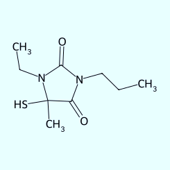 CCCN1C(=O)N(CC)C(C)(S)C1=O